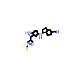 N#Cc1ccc2c(c1)CCC2Nc1ccc2[nH]nc(-c3cnn(C(F)F)c3)c2c1